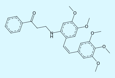 COc1cc(/C=C\c2cc(OC)c(OC)c(OC)c2)c(NCCC(=O)c2ccccc2)cc1OC